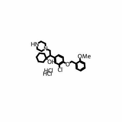 COc1ccccc1COc1ccc(C(CN2CCNCC2)C2(O)CCCCC2)cc1Cl.Cl.Cl